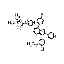 COc1cc(-c2c(-c3ccncc3)nn3c(-c4ccc(F)cc4N4CC5CC4CN5C(=O)OC(C)(C)C)ccnc23)ccc1Cl